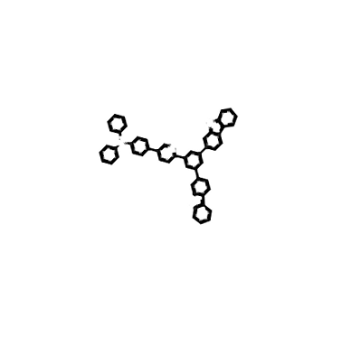 c1ccc(N(c2ccccc2)c2ccc(-c3ccc(-c4cc(-c5ccc6c(c5)oc5ccccc56)cc(-c5ccc6c(c5)oc5ccccc56)c4)nc3)cc2)cc1